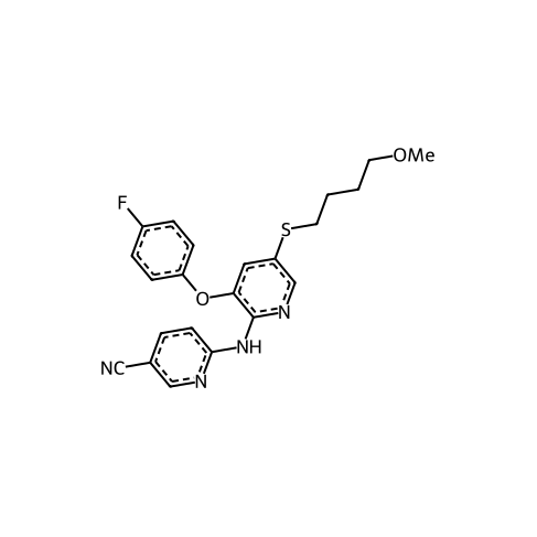 COCCCCSc1cnc(Nc2ccc(C#N)cn2)c(Oc2ccc(F)cc2)c1